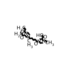 C=CC(=O)N1CCN(C(C)C/C=C/C(=O)N2CCN(CC)C(C(=O)O)C2)CC1C(N)=O